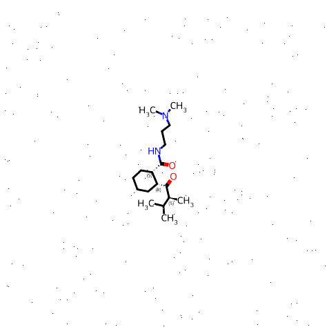 CC(C)[C@H](C)C(=O)[C@@H]1CCCC[C@@H]1C(=O)NCCCN(C)C